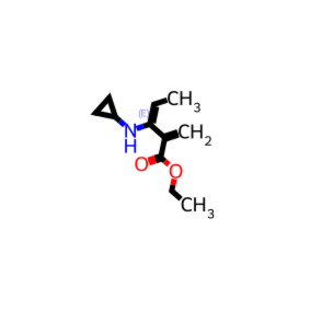 C=C(C(=O)OCC)/C(=C\C)NC1CC1